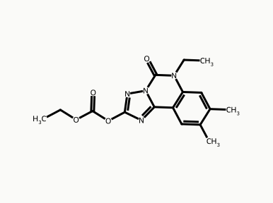 CCOC(=O)Oc1nc2c3cc(C)c(C)cc3n(CC)c(=O)n2n1